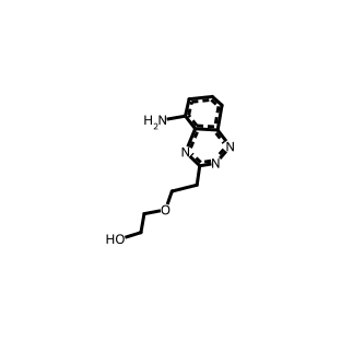 Nc1cccc2nnc(CCOCCO)nc12